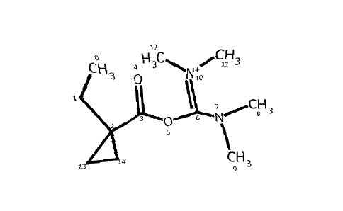 CCC1(C(=O)OC(N(C)C)=[N+](C)C)CC1